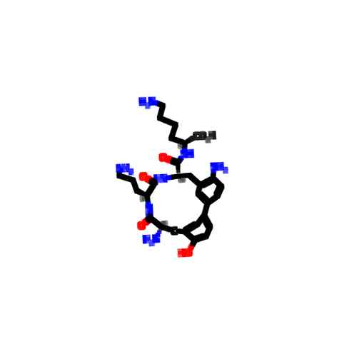 NCCCC[C@H](NC(=O)[C@@H]1Cc2cc(ccc2N)-c2ccc(O)c(c2)C[C@H](N)C(=O)N[C@@H](CCCN)C(=O)N1)C(=O)O